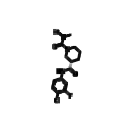 CCN(C)C(=O)N1CCC[C@H](C(=O)Nc2ccc(Cl)c(F)c2)C1